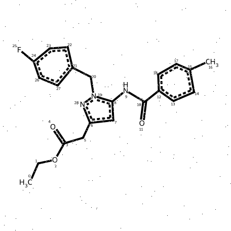 CCOC(=O)Cc1cc(NC(=O)c2ccc(C)cc2)n(Cc2ccc(F)cc2)n1